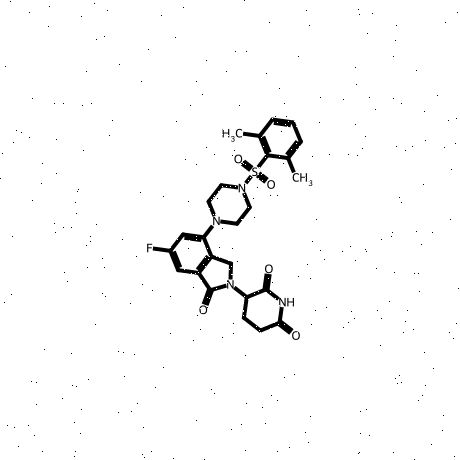 Cc1cccc(C)c1S(=O)(=O)N1CCN(c2cc(F)cc3c2CN(C2CCC(=O)NC2=O)C3=O)CC1